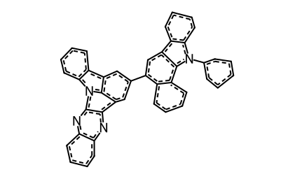 c1ccc(-n2c3ccccc3c3cc(-c4cc5c6ccccc6n6c7nc8ccccc8nc7c(c4)c56)c4ccccc4c32)cc1